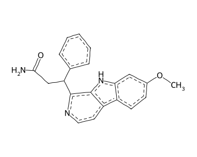 COc1ccc2c(c1)[nH]c1c(C(CC(N)=O)c3ccccc3)nccc12